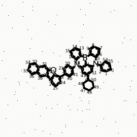 c1ccc(N2c3ccccc3B3c4ccccc4N(c4ccc(-c5cccc6c5oc5cc7ccccc7cc56)cc4)c4cc(C5CCCCC5)cc2c43)cc1